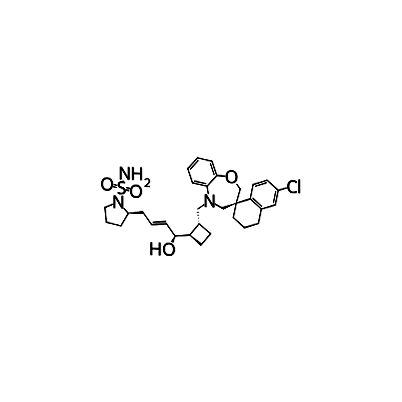 NS(=O)(=O)N1CCC[C@@H]1C/C=C/[C@H](O)[C@@H]1CC[C@H]1CN1C[C@@]2(CCCc3cc(Cl)ccc32)COc2ccccc21